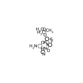 COC(C)(C)COc1cc(F)c(-c2nc(C(=O)Nc3cnccc3[C@@H]3C[C@H](C)C[C@@H](N)C3)ccc2F)c(F)c1